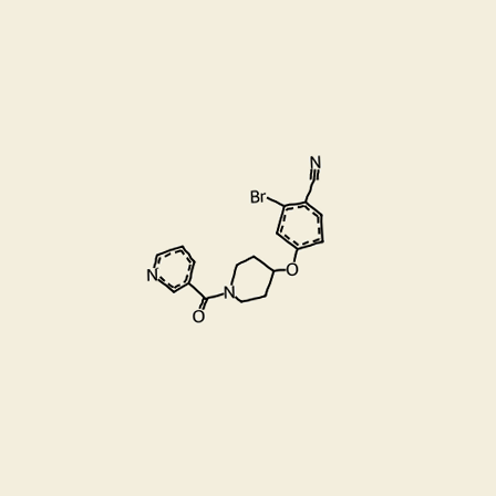 N#Cc1ccc(OC2CCN(C(=O)c3cccnc3)CC2)cc1Br